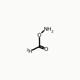 [2H]C(=O)ON